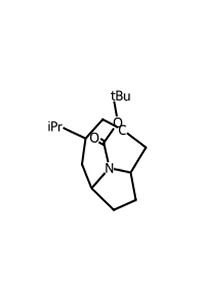 CC(C)C1CCCC2CCC(C1)N2C(=O)OC(C)(C)C